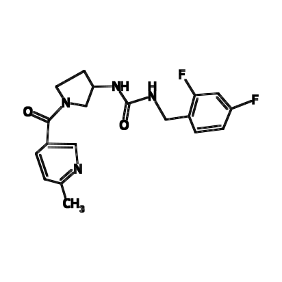 Cc1ccc(C(=O)N2CCC(NC(=O)NCc3ccc(F)cc3F)C2)cn1